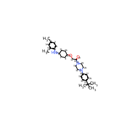 Cc1ccc(NC2CCC(OCC(=O)N3CCN(c4ccc(C(C)(C)C)cc4)CC3)CC2)c(C)c1